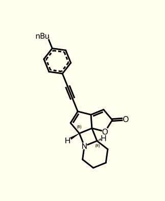 CCCCc1ccc(C#CC2=C[C@H]3N4CCCC[C@@H]4C34OC(=O)C=C24)cc1